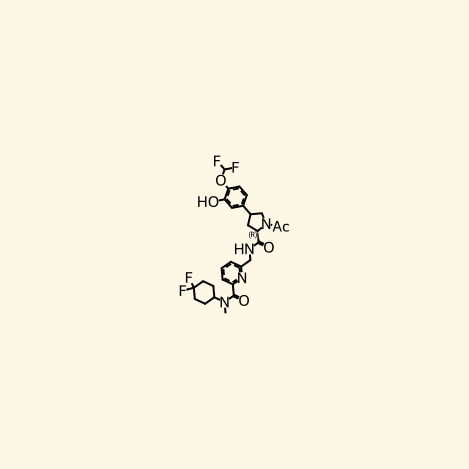 CC(=O)N1CC(c2ccc(OC(F)F)c(O)c2)C[C@@H]1C(=O)NCc1cccc(C(=O)N(C)C2CCC(F)(F)CC2)n1